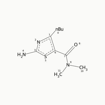 CCCCc1nc(N)sc1C(=O)N(C)C